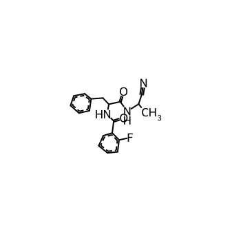 CC(C#N)NC(=O)C(Cc1ccccc1)NC(=O)c1ccccc1F